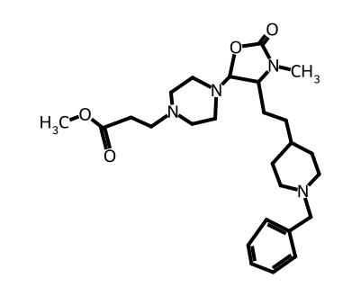 COC(=O)CCN1CCN(C2OC(=O)N(C)C2CCC2CCN(Cc3ccccc3)CC2)CC1